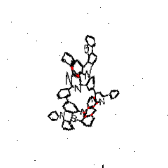 c1ccc(-c2cc(-c3ccc(-n4c5ccccc5c5c6oc7ccccc7c6ccc54)c(-c4cc(-c5ccccc5)nc(-c5cccc(-c6cc7c8c(c6)N(c6ccccc6)c6ccccc6B8c6ccccc6N7c6ccccc6)c5)n4)c3)nc(-c3ccccc3)n2)cc1